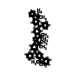 CC1(C)c2ccccc2-c2ccc(N(c3ccccc3)c3ccc4c(c3)C(C)(C)c3c-4sc4c3C(C)(C)c3cc(N(c5ccccc5)c5ccc6c(c5)C(C)(C)c5ccccc5-6)ccc3-4)cc21